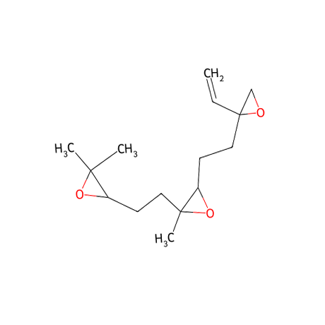 C=CC1(CCC2OC2(C)CCC2OC2(C)C)CO1